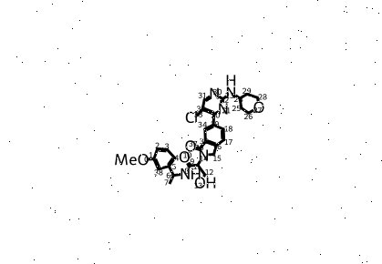 COc1cccc(C(C)NC(=O)C(CO)N2Cc3ccc(-c4nc(NC5CCOCC5)ncc4Cl)cc3C2=O)c1